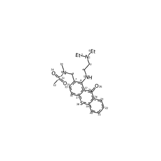 CCN(CC)CCNc1c(CN(C)S(C)(=O)=O)ccc2sc3ccccc3c(=O)c12